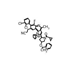 Cc1nc2c(F)c(-c3cccc(Cl)c3Cl)c(CCC#N)cc2c2c1cc(C1CC(OC(C)c3ccccn3)CN1C(=O)C1CC1)n2C1C2CNC1C2